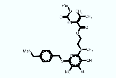 CCc1c(C#N)c(SCc2ccc(CNC)cc2)nc(N(C)CCOC(=O)C(NC(=O)OC(C)(C)C)=C(C)C)c1C#N